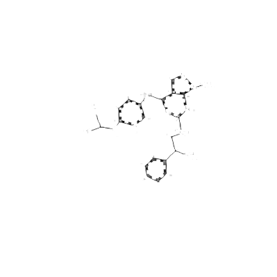 Cn1ncc2c(Nc3ccc(OC(F)F)nc3)nc(NCC(N)c3ccccc3)nc21